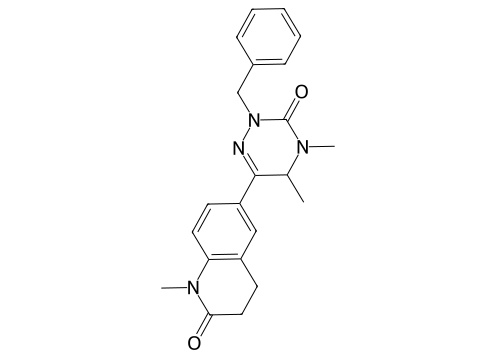 CC1C(c2ccc3c(c2)CCC(=O)N3C)=NN(Cc2ccccc2)C(=O)N1C